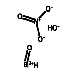 O=[N+]([O-])[O-].[OH-].[O]=[BiH+2]